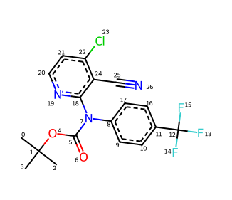 CC(C)(C)OC(=O)N(c1ccc(C(F)(F)F)cc1)c1nccc(Cl)c1C#N